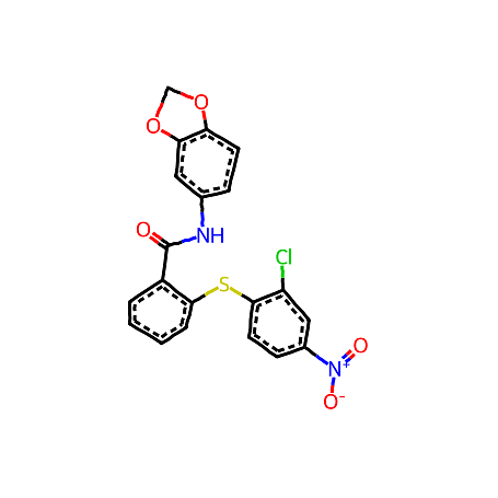 O=C(Nc1ccc2c(c1)OCO2)c1ccccc1Sc1ccc([N+](=O)[O-])cc1Cl